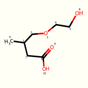 CC(COCCO)CC(=O)O